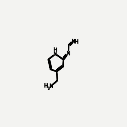 N=C/N=c1/cc(CN)cc[nH]1